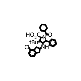 CC(C)(C)[C@H]1[C@H](NC2Cc3cccc(Cl)c3C2)C(c2ccccc2)N(C(=O)C2CCCCC2)[C@@H]1C(=O)O